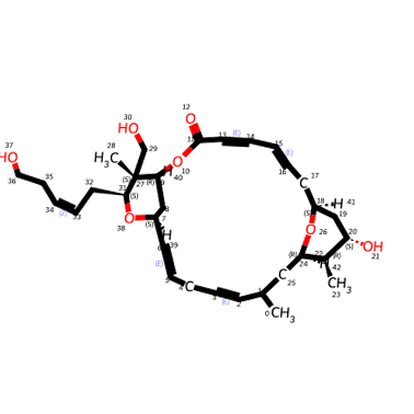 CC1/C=C/C/C=C/[C@@H]2C[C@@H](OC(=O)/C=C/C=C/C[C@H]3C[C@H](O)[C@@H](C)[C@@H](C1)O3)[C@@](C)(CO)[C@H](C/C=C\CCO)O2